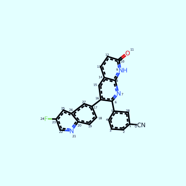 N#Cc1cccc(-c2nc3[nH]c(=O)ccc3cc2-c2ccc3ncc(F)cc3c2)c1